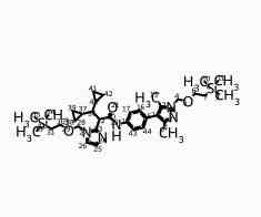 Cc1nn(COCC[Si](C)(C)C)c(C)c1-c1ccc(NC(=O)C(c2nccn2COCC[Si](C)(C)C)C(C2CC2)C2CC2)cc1